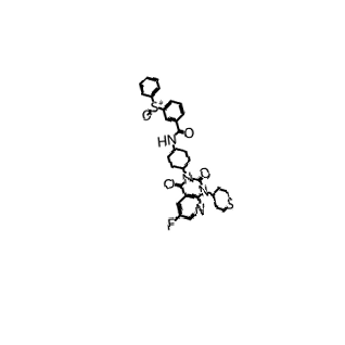 O=C(NC1CCC(n2c(=O)c3cc(F)cnc3n(C3CCSCC3)c2=O)CC1)c1cccc([S+]([O-])c2ccccc2)c1